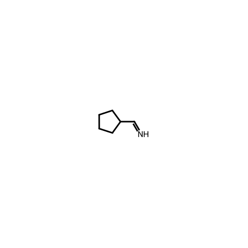 N=CC1CCCC1